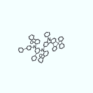 c1ccc(-c2ccc(N(c3cc(-c4ccccc4)cc(N(c4ccc5c(c4)c4c6c(ccc4n5-c4ccccc4)C4(c5ccccc5-c5ccccc54)c4ccccc4-6)c4cccc5c4oc4ccccc45)c3)c3cccc4c3oc3ccccc34)cc2)cc1